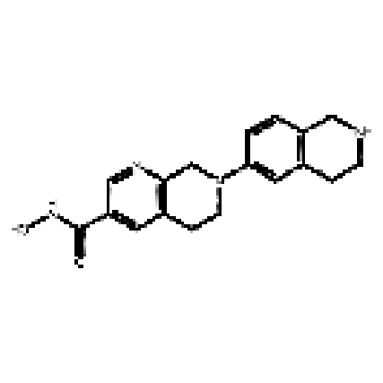 O=C(NO)c1cnc2c(c1)CCN(c1ccc3c(c1)CCNC3)C2